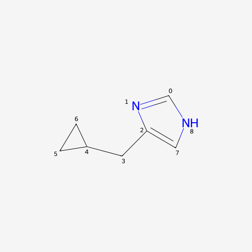 c1nc(CC2CC2)c[nH]1